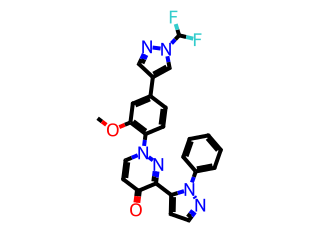 COc1cc(-c2cnn(C(F)F)c2)ccc1-n1ccc(=O)c(-c2ccnn2-c2ccccc2)n1